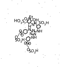 CCn1c(O)c(/N=N/c2cc(Nc3nc(Nc4ccc(S(=O)(=O)CCOS(=O)(=O)O)cc4)nc(Nc4cccc(S(=O)(=O)CCOS(=O)(=O)O)c4)n3)ccc2S(=O)(=O)O)c(C)c(CS(=O)(=O)O)c1=O